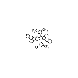 Cc1cc(-c2c3cc4c(cc3c(-c3cc(C)cc(C(F)(F)F)c3)c3c5cc6ccccc6c6cccc(c23)c65)c2cccc3c5ccccc5cc4c32)cc(C(F)(F)F)c1